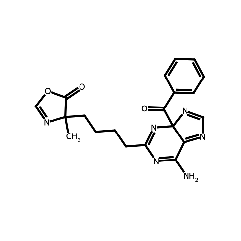 CC1(CCCCC2=NC3(C(=O)c4ccccc4)N=CN=C3C(N)=N2)N=COC1=O